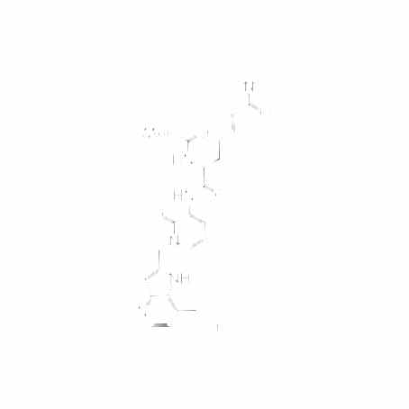 COC(=O)N[C@@H](CC/C=C/C(=O)N(C)C)C(=O)Nc1cccn(Cc2cc3nccc(CC(C)C)c3[nH]2)c1=O